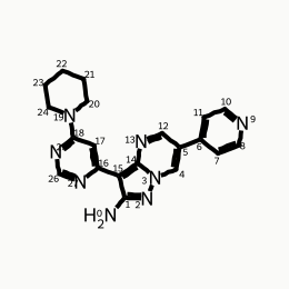 Nc1nn2cc(-c3ccncc3)cnc2c1-c1cc(N2CCCCC2)ncn1